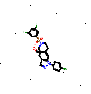 O=CC12Cc3cnn(-c4ccc(F)cc4)c3C=C1CCN(S(=O)(=O)c1cc(F)cc(F)c1)C2